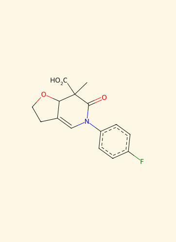 CC1(C(=O)O)C(=O)N(c2ccc(F)cc2)C=C2CCOC21